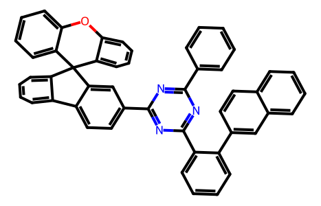 c1ccc(-c2nc(-c3ccc4c(c3)C3(c5ccccc5Oc5ccccc53)c3ccccc3-4)nc(-c3ccccc3-c3ccc4ccccc4c3)n2)cc1